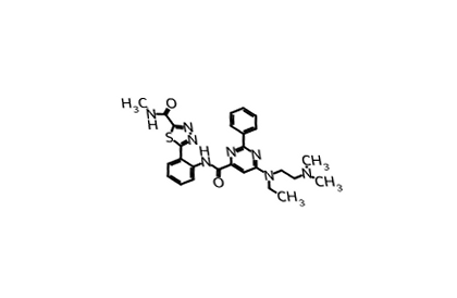 CCN(CCN(C)C)c1cc(C(=O)Nc2ccccc2-c2nnc(C(=O)NC)s2)nc(-c2ccccc2)n1